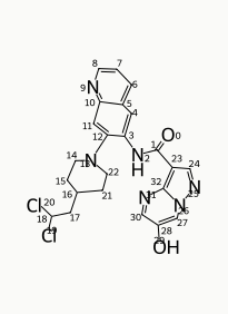 O=C(Nc1cc2cccnc2cc1N1CCC(CC(Cl)Cl)CC1)c1cnn2cc(O)cnc12